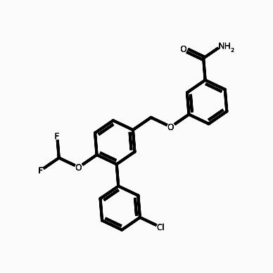 NC(=O)c1cccc(OCc2ccc(OC(F)F)c(-c3cccc(Cl)c3)c2)c1